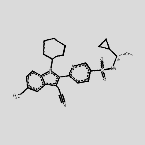 Cc1ccc2c(c1)c(C#N)c(-c1ccc(S(=O)(=O)N[C@@H](C)C3CC3)cn1)n2C1CCCCC1